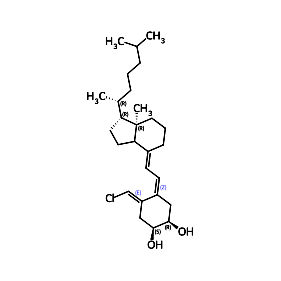 CC(C)CCC[C@@H](C)[C@H]1CCC2C(=C/C=C3/C[C@@H](O)[C@@H](O)C/C3=C\Cl)CCC[C@@]21C